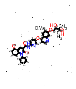 COc1cc2c(Oc3ccc(NC(=O)c4cc5c(n(-c6ccccc6)c4=O)CCCC5=O)nc3)ccnc2cc1OC[C@H](O)C(C)(C)O